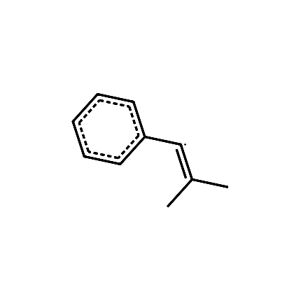 CC(C)=[C]c1ccccc1